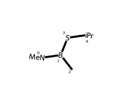 CNB(C)SC(C)C